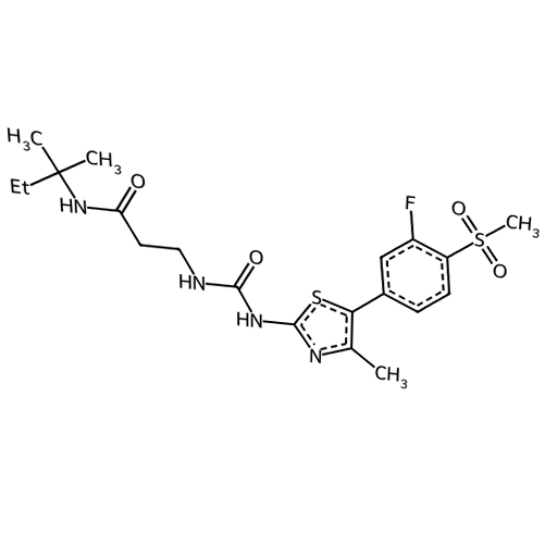 CCC(C)(C)NC(=O)CCNC(=O)Nc1nc(C)c(-c2ccc(S(C)(=O)=O)c(F)c2)s1